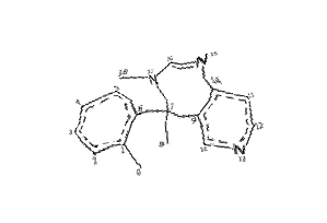 Cc1ccccc1C1(C)c2cnccc2N=CN1C